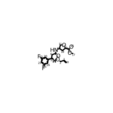 C=CCO/N=C(\CC(=O)NC1COC(C(=O)OC)C1)c1cc(F)cc(F)c1